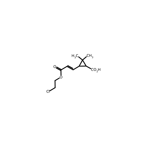 CC1(C)C(C=CC(=O)OCCCl)C1C(=O)O